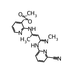 C/N=C(\C=C(/C)Nc1ncccc1S(C)(=O)=O)Nc1cccc(C#N)n1